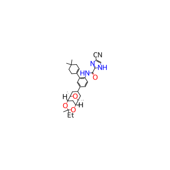 CCC1(C)O[C@H]2C[C@@H](O1)[C@]1(C)CC(c3ccc(NC(=O)c4nc(C#N)c[nH]4)c(C4=CCC(C)(C)CC4)c3)C[C@@]2(C)O1